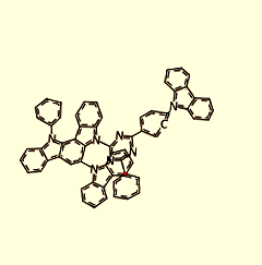 c1ccc(-c2nc(-c3ccc(-n4c5ccccc5c5ccccc54)cc3)nc(-n3c4ccccc4c4c3c(-n3c5ccccc5c5ccccc53)cc3c5ccccc5n(-c5ccccc5)c34)n2)cc1